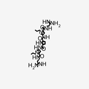 CCCn1cc(NC(=O)c2ccc(C(=O)Nc3cc(C(=O)NCCC(=N)N)n(CCC)c3)[nH]2)cc1C(=O)NCCC(=N)N